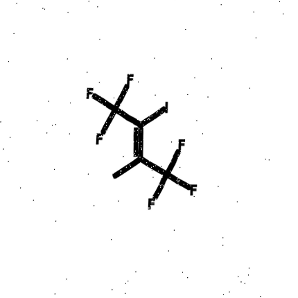 C/C(=C(/I)C(F)(F)F)C(F)(F)F